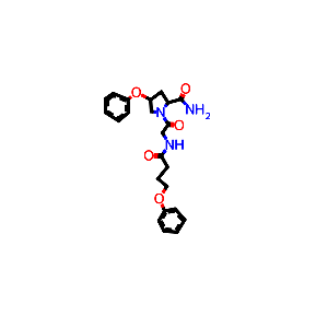 NC(=O)C1CC(Oc2ccccc2)CN1C(=O)CNC(=O)CCCOc1ccccc1